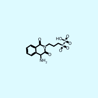 NC1C(=O)N(CCCS(=O)(=O)S(=O)(=O)O)C(=O)c2ccccc21